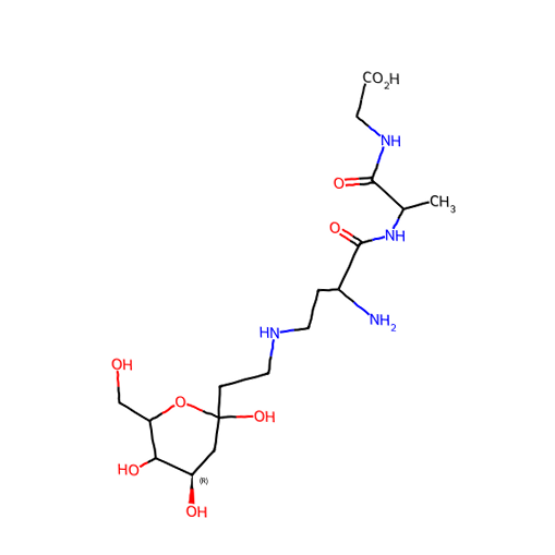 CC(NC(=O)C(N)CCNCCC1(O)C[C@@H](O)C(O)C(CO)O1)C(=O)NCC(=O)O